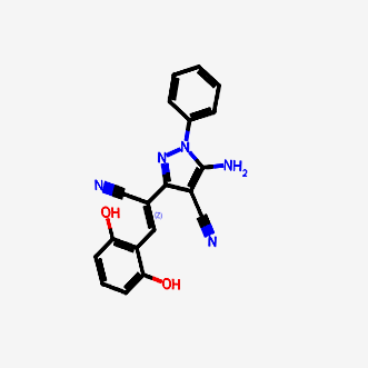 N#C/C(=C\c1c(O)cccc1O)c1nn(-c2ccccc2)c(N)c1C#N